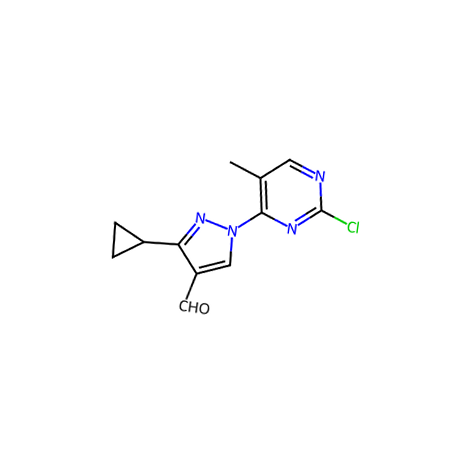 Cc1cnc(Cl)nc1-n1cc(C=O)c(C2CC2)n1